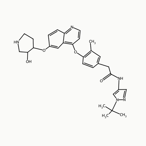 Cc1cc(CC(=O)Nc2cnn(C(C)(C)C)c2)ccc1Oc1ccnc2ccc(OC3CCNCC3O)cc12